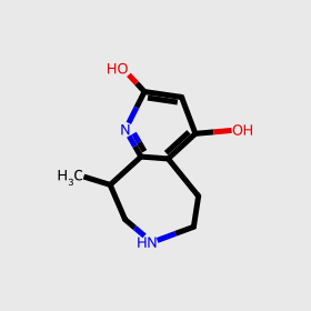 CC1CNCCc2c(O)cc(O)nc21